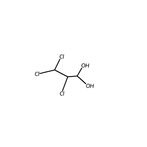 OC(O)C(Cl)C(Cl)Cl